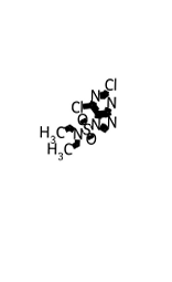 CCN(CC)S(=O)(=O)n1cnc2nc(Cl)nc(Cl)c21